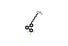 CCCCCCCCCc1cccc(-c2ccccc2-c2ccc(F)c(F)c2F)c1